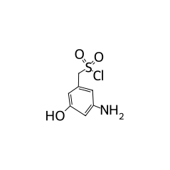 Nc1cc(O)cc(CS(=O)(=O)Cl)c1